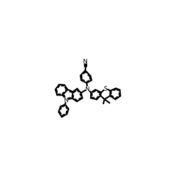 CC1(C)c2ccccc2Sc2cc(N(c3ccc(C#N)cc3)c3ccc4c(c3)c3ccccc3n4-c3ccccc3)ccc21